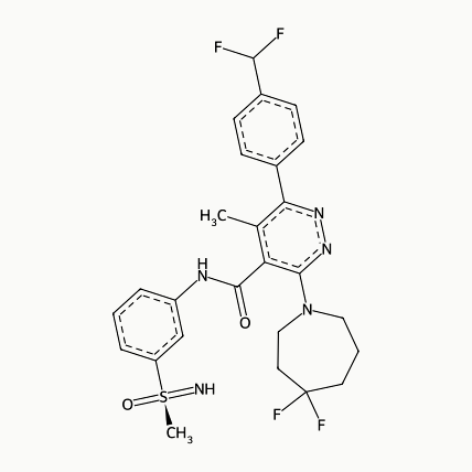 Cc1c(-c2ccc(C(F)F)cc2)nnc(N2CCCC(F)(F)CC2)c1C(=O)Nc1cccc([S@](C)(=N)=O)c1